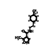 Cc1oncc1C(=O)NCCc1ccc(C(F)(F)F)cc1